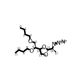 CCCCOC[C@H](OCCCC)C1CO[C@@H]([C@H](C)N=[N+]=[N-])O1